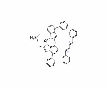 C(/C=C/c1ccccc1)=C\c1ccccc1.CC1=Cc2c(-c3ccccc3)cccc2[CH]1[Zr][CH]1C(C)=Cc2c(-c3ccccc3)cccc21.C[SiH2]C